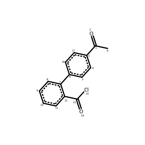 CC(=O)c1ccc(-c2ccccc2C(=O)Cl)cc1